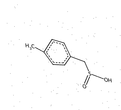 Cc1ccc(CS(=O)O)cc1